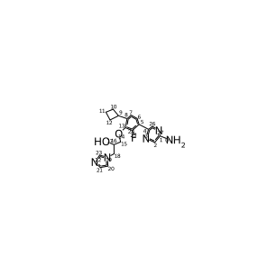 Nc1cnc(-c2ccc(C3CCC3)c(OCC(O)Cn3ccnc3)c2F)cn1